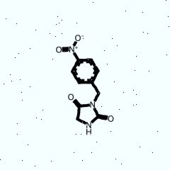 O=C1CNC(=O)N1Cc1ccc([N+](=O)[O-])cc1